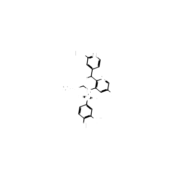 COCN(c1cc(Cl)cnc1C(O)c1ccnc(C)c1)S(=O)(=O)c1ccc(Cl)c(C(F)(F)F)c1